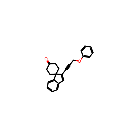 O=C1CCC2(CC1)C(C#CCOc1ccccc1)=Cc1ccccc12